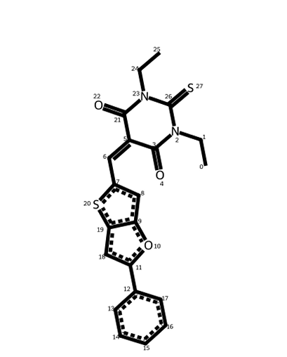 CCN1C(=O)C(=Cc2cc3oc(-c4ccccc4)cc3s2)C(=O)N(CC)C1=S